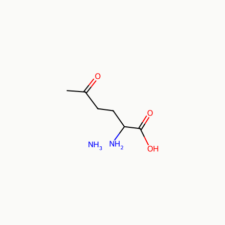 CC(=O)CCC(N)C(=O)O.N